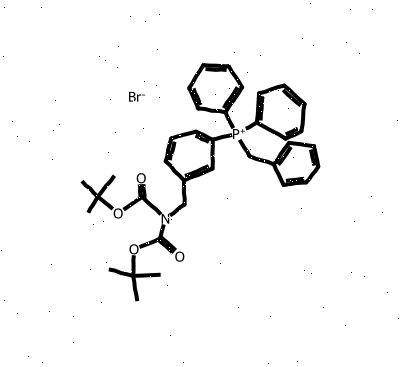 CC(C)(C)OC(=O)N(Cc1cccc([P+](Cc2ccccc2)(c2ccccc2)c2ccccc2)c1)C(=O)OC(C)(C)C.[Br-]